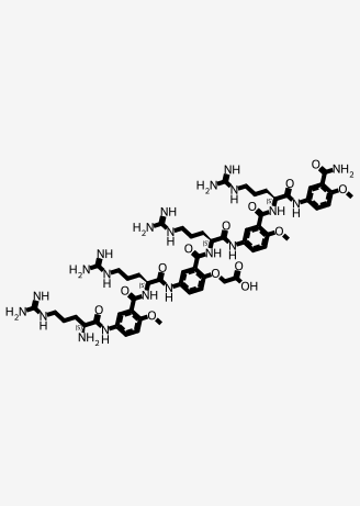 COc1ccc(NC(=O)[C@H](CCCNC(=N)N)NC(=O)c2cc(NC(=O)[C@H](CCCNC(=N)N)NC(=O)c3cc(NC(=O)[C@H](CCCNC(=N)N)NC(=O)c4cc(NC(=O)[C@@H](N)CCCNC(=N)N)ccc4OC)ccc3OCC(=O)O)ccc2OC)cc1C(N)=O